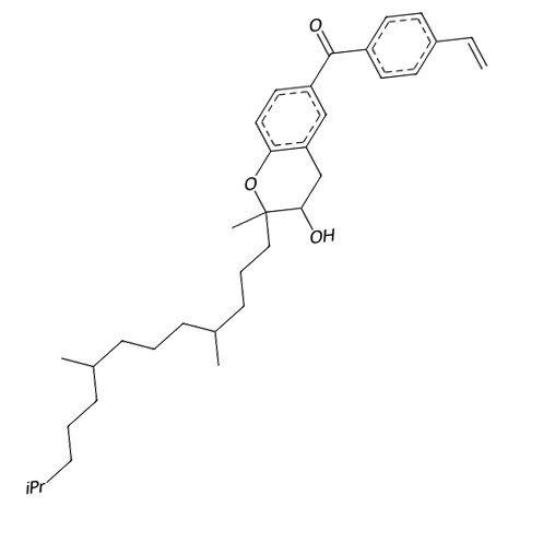 C=Cc1ccc(C(=O)c2ccc3c(c2)CC(O)C(C)(CCCC(C)CCCC(C)CCCC(C)C)O3)cc1